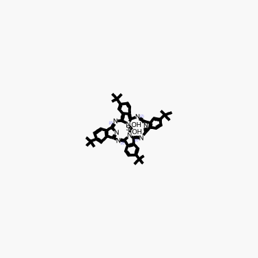 CC(C)(C)c1ccc2c(c1)C1=NC/2=N\c2c3cc(C(C)(C)C)ccc3c3n2[Si](O)(O)n2/c(c4ccc(C(C)(C)C)cc4/c2=N/C2=NC(=N\3)/c3cc(C(C)(C)C)ccc32)=N\1